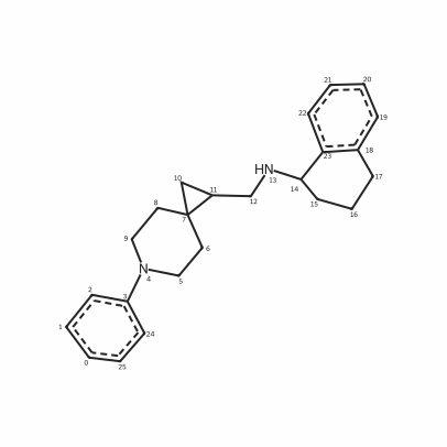 c1ccc(N2CCC3(CC2)CC3CNC2CCCc3ccccc32)cc1